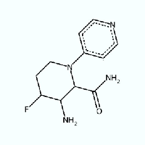 NC(=O)C1C(N)C(F)CCN1c1[c]cncc1